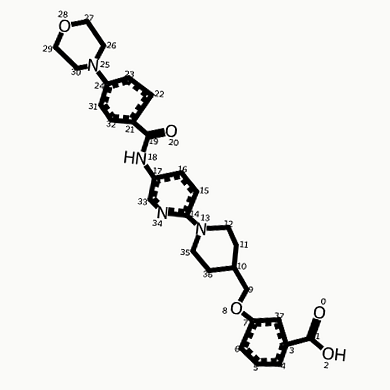 O=C(O)c1cccc(OCC2CCN(c3ccc(NC(=O)c4ccc(N5CCOCC5)cc4)cn3)CC2)c1